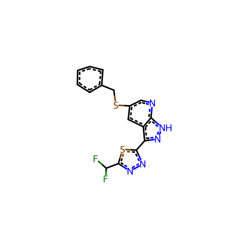 FC(F)c1nnc(-c2n[nH]c3ncc(SCc4ccccc4)cc23)s1